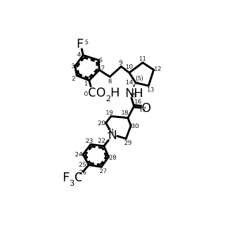 O=C(O)c1ccc(F)cc1CCC1CCC[C@@H]1NC(=O)C1CCN(c2ccc(C(F)(F)F)cc2)CC1